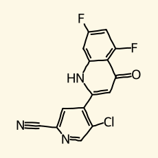 N#Cc1cc(-c2cc(=O)c3c(F)cc(F)cc3[nH]2)c(Cl)cn1